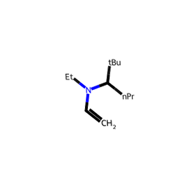 C=CN(CC)C(CCC)C(C)(C)C